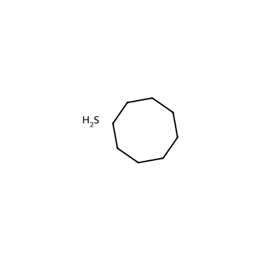 C1CCCCCCC1.S